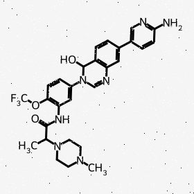 CC(C(=O)Nc1cc(N2C=Nc3cc(-c4ccc(N)nc4)ccc3C2O)ccc1OC(F)(F)F)N1CCN(C)CC1